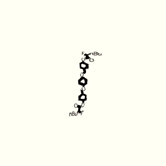 CCCC[C@H](F)C(=O)OC1CCC(COc2ccc(OCC3CCC(OC(=O)[C@@H](F)CCCC)CC3)cc2)CC1